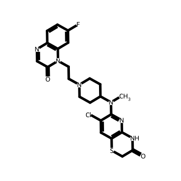 CN(c1nc2c(cc1Cl)SCC(=O)N2)C1CCN(CCn2c(=O)cnc3ccc(F)cc32)CC1